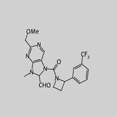 COCc1ncc2c(n1)N(C)C(C=O)N2C(=O)N1CCC1c1cccc(C(F)(F)F)c1